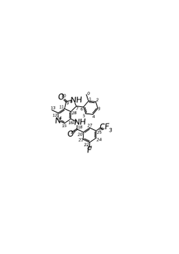 Cc1ccccc1C1NC(=O)c2c(C)ncc(NC(=O)c3cc(F)cc(C(F)(F)F)c3)c21